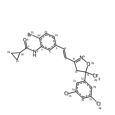 O=C(Nc1cc(/C=C/C2=NOC(c3cc(Cl)cc(Cl)c3)(C(F)(F)F)C2)ccc1Br)C1CC1